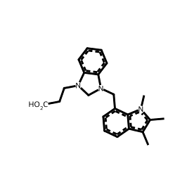 Cc1c(C)n(C)c2c(CN3CN(CCC(=O)O)c4ccccc43)cccc12